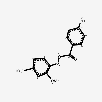 COc1cc(C(=O)O)ccc1OOC(=O)c1ccc(O)cc1